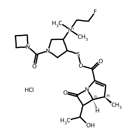 CC(O)C1C(=O)N2C(C(=O)OSC3CN(C(=O)N4CCC4)CC3[N+](C)(C)CCF)=C[C@@H](C)[C@@H]12.Cl